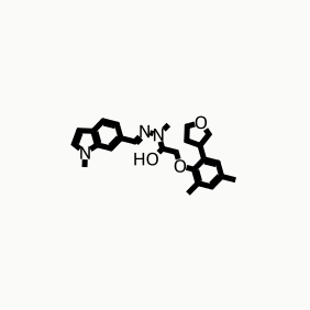 Cc1cc(C)c(OCC(O)N(C)/N=C/c2ccc3ccn(C)c3c2)c(C2CCOC2)c1